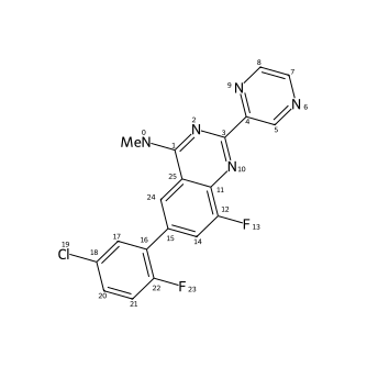 CNc1nc(-c2cnccn2)nc2c(F)cc(-c3cc(Cl)ccc3F)cc12